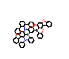 c1ccc(-c2cccc(-c3ccccc3)c2N2c3cc4c(cc3B3c5ccccc5N(c5ccccc5)c5c3c2cc2sc3ccccc3c52)B2c3ccccc3Oc3c2c(cc2oc5ccccc5c32)O4)cc1